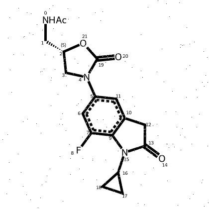 CC(=O)NC[C@H]1CN(c2cc(F)c3c(c2)CC(=O)N3C2CC2)C(=O)O1